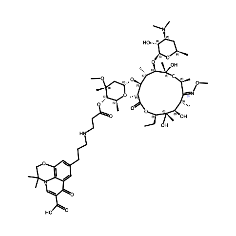 CC[C@H]1OC(=O)[C@H](C)[C@@H](O[C@H]2C[C@@](C)(OC)[C@@H](OC(=O)CCNCCCc3cc4c5c(c3)c(=O)c(C(=O)O)cn5C(C)(C)CO4)[C@H](C)O2)[C@H](C)[C@@H](O[C@@H]2O[C@H](C)C[C@H](N(C)C)[C@H]2O)[C@](C)(O)C[C@@H](C)/C(=N\OC)[C@H](C)[C@@H](O)[C@]1(C)O